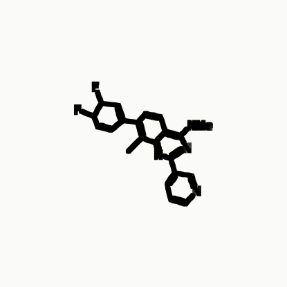 CNc1nc(-c2cccnc2)nc2c(C)c(C3=CC(F)C(F)C=C3)ccc12